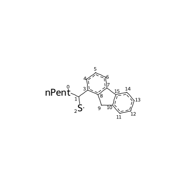 CCCCCC([S])c1cccc2c1Cc1ccccc1-2